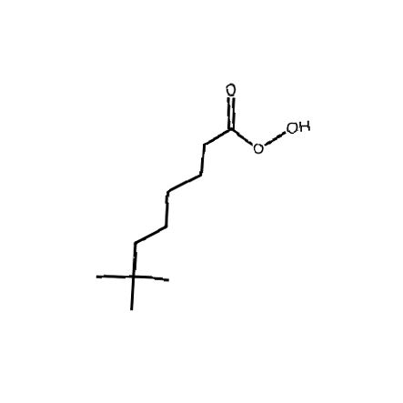 CC(C)(C)CCCCCC(=O)OO